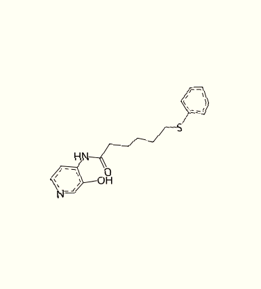 O=C(CCCCCSc1ccccc1)Nc1ccncc1O